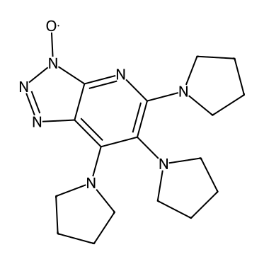 [O]n1nnc2c(N3CCCC3)c(N3CCCC3)c(N3CCCC3)nc21